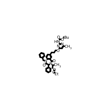 CCOOCC(C)N1C(=O)c2cc(CCCOc3cc(C)nc(NC(=O)OC(C)(C)C)n3)ccc2N(Cc2ccccc2)C(=O)C1c1ccccc1